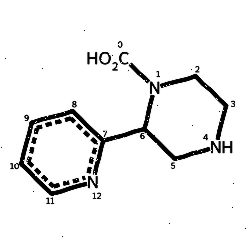 O=C(O)N1CCNCC1c1ccccn1